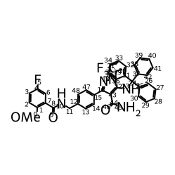 COc1ccc(F)cc1C(=O)NCc1ccc(-c2nn([C@@H](C)C(F)(F)F)c(NC(c3ccccc3)(c3ccccc3)c3ccccc3)c2C(N)=O)cc1